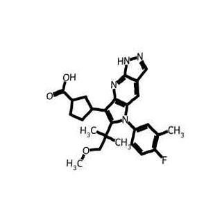 COCC(C)(C)c1c(C2CCC(C(=O)O)C2)c2nc3[nH]ncc3cc2n1-c1ccc(F)c(C)c1